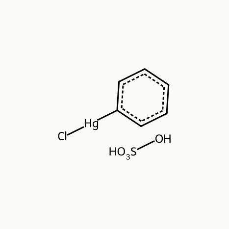 O=S(=O)(O)O.[Cl][Hg][c]1ccccc1